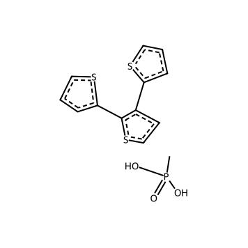 CP(=O)(O)O.c1csc(-c2ccsc2-c2cccs2)c1